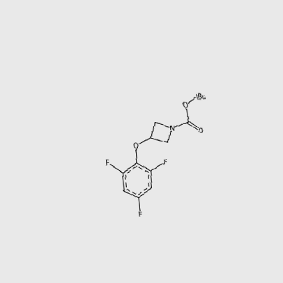 CC(C)(C)OC(=O)N1CC(Oc2c(F)cc(F)cc2F)C1